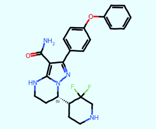 NC(=O)c1c(-c2ccc(Oc3ccccc3)cc2)nn2c1NCC[C@H]2C1CCNCC1(F)F